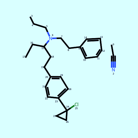 CC#N.CCCN(CCc1ccccc1)C(CC)CCc1ccc(C2(Cl)CC2)cc1